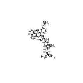 CCCN1CCC[C@H](n2c(=O)c(-c3ccccc3Cl)c(C)c3cnc(Nc4ccc(N5CCC(N(C)C)CC5)c(C)c4)nc32)C1